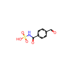 O=Cc1ccc(C(=O)NS(=O)(=O)O)cc1